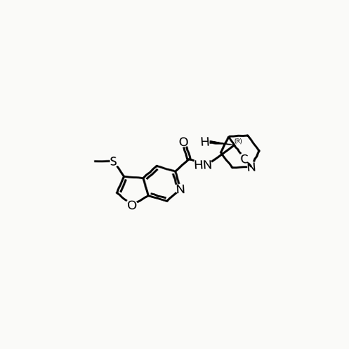 CSc1coc2cnc(C(=O)N[C@H]3CN4CCC3CC4)cc12